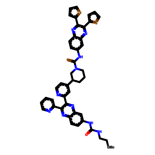 COCCNC(=O)Nc1ccc2nc(-c3ccccn3)c(-c3cc(C4CCCN(C(=S)Nc5ccc6nc(-c7cccs7)c(-c7cccs7)nc6c5)C4)ccn3)nc2c1